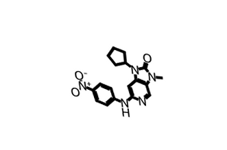 Cn1c(=O)n(C2CCCC2)c2cc(Nc3ccc([N+](=O)[O-])cc3)ncc21